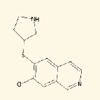 Clc1cc2cnccc2cc1SC1CCNC1